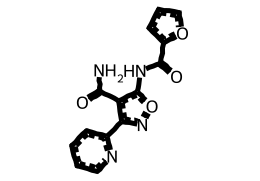 NC(=O)c1c(-c2ccccn2)noc1NC(=O)c1ccco1